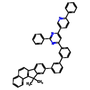 CC1(C)c2cc(-c3cccc(-c4cccc(-c5cc(-c6ccc(-c7ccccc7)nc6)nc(-c6ccccc6)n5)c4)c3)ccc2-c2ccc3ccccc3c21